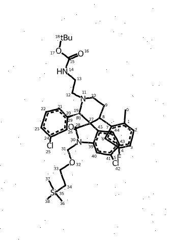 Cc1ccc(F)cc1C1CCN(CCNC(=O)OC(C)(C)C)[C@H](c2cccc(Cl)c2)C12C(=O)N(COCC[Si](C)(C)C)c1cc(Cl)ccc12